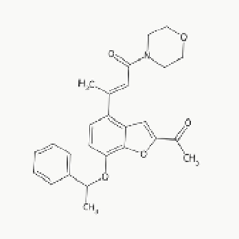 CC(=O)c1cc2c(C(C)=CC(=O)N3CCOCC3)ccc(OC(C)c3ccccc3)c2o1